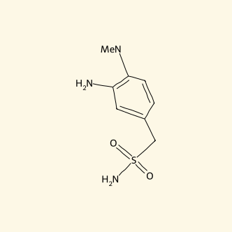 CNc1ccc(CS(N)(=O)=O)cc1N